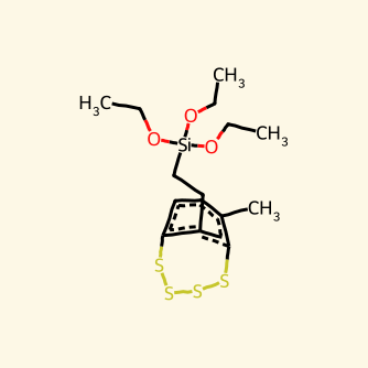 CCO[Si](CCc1c2ccc(C)c1SSSS2)(OCC)OCC